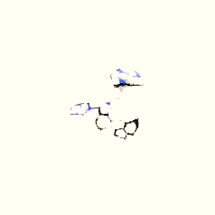 F[C@H]1CN2CCC[C@@]2(COc2nc3c(c(C4CC5CCC(C4)N5)n2)CCN(c2cccc4cccc(Cl)c24)C3)C1